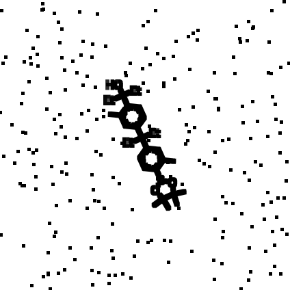 CCC(O)(CC)c1ccc(C(CC)(CC)c2ccc(B3OC(C)(C)C(C)(C)O3)c(C)c2)cc1C